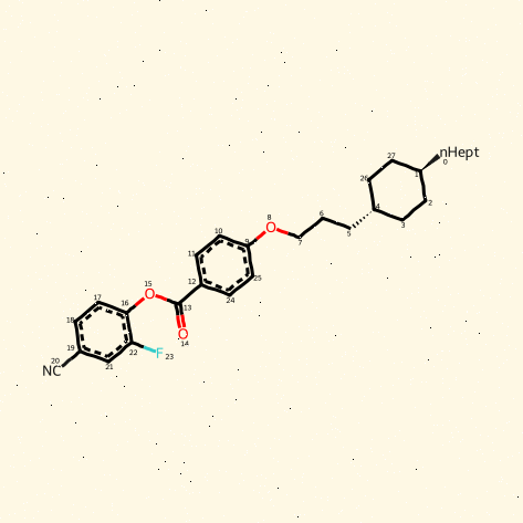 CCCCCCC[C@H]1CC[C@H](CCCOc2ccc(C(=O)Oc3ccc(C#N)cc3F)cc2)CC1